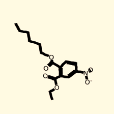 CCCCCCOC(=O)c1ccc([N+](=O)[O-])cc1C(=O)OCC